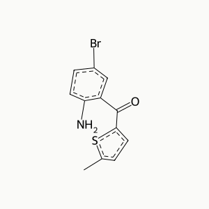 Cc1ccc(C(=O)c2cc(Br)ccc2N)s1